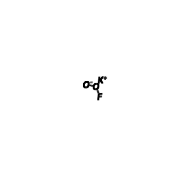 [K+].[O-]OF